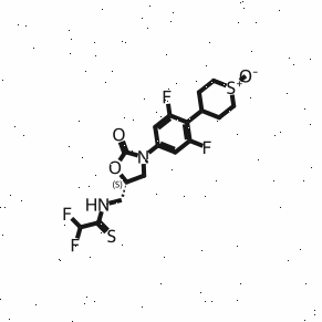 O=C1O[C@@H](CNC(=S)C(F)F)CN1c1cc(F)c(C2CC[S+]([O-])CC2)c(F)c1